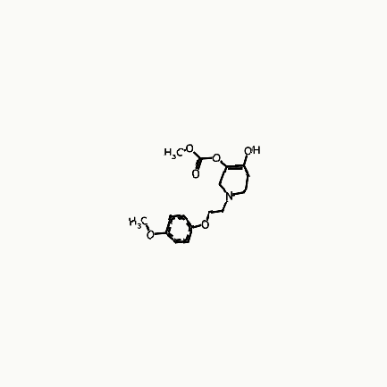 COC(=O)OC1=C(O)CCN(CCOc2ccc(OC)cc2)C1